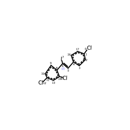 Clc1ccc(/C=C(\I)c2ccc(Cl)cc2Cl)cc1